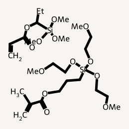 C=C(C)C(=O)OCCC[Si](OCCOC)(OCCOC)OCCOC.C=CC(=O)OC(CC)[Si](OC)(OC)OC